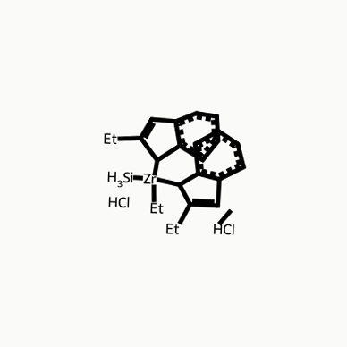 CC.CCC1=Cc2ccccc2[CH]1[Zr]([SiH3])([CH2]C)[CH]1C(CC)=Cc2ccccc21.Cl.Cl